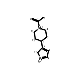 C=C(C)N1CCC(C2=CC=NC2)CC1